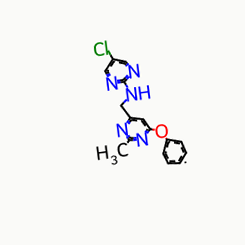 Cc1nc(CNc2ncc(Cl)cn2)cc(Oc2cc[c]cc2)n1